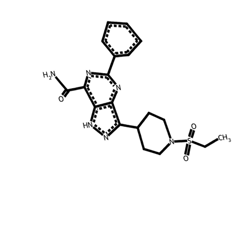 CCS(=O)(=O)N1CCC(c2n[nH]c3c(C(N)=O)nc(-c4ccccc4)nc23)CC1